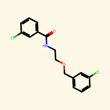 O=C(NCCOCc1cccc(Cl)c1)c1cccc(Cl)c1